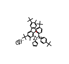 Cc1cc2c(cc1C(C)(C)C)-c1cc(C(C)(C)C)c(C)[c]([Zr+2]([C]3=CC=CC3)=[C](c3ccc(C(C)(C)C)cc3)c3ccc(C(C)(C)C)cc3)c1C2.[Cl-].[Cl-]